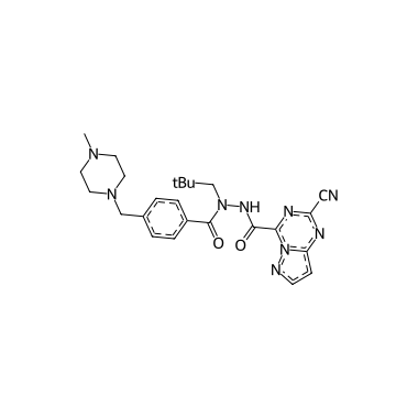 CN1CCN(Cc2ccc(C(=O)N(CC(C)(C)C)NC(=O)c3nc(C#N)nc4ccnn34)cc2)CC1